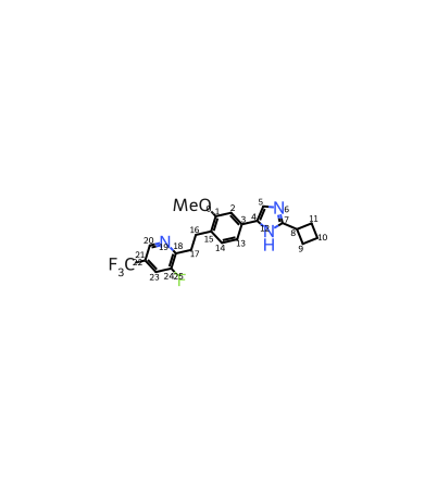 COc1cc(-c2cnc(C3CCC3)[nH]2)ccc1CCc1ncc(C(F)(F)F)cc1F